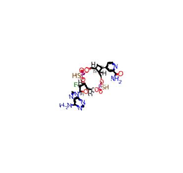 NC(=O)c1cc([C@@H]2C[C@@H]3COP(=O)(S)O[C@H]4[C@H](F)[C@H](n5cnc6c(N)ncnc65)O[C@@H]4COP(=O)(S)OC[C@H]32)ccn1